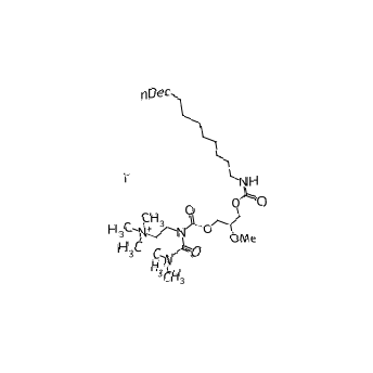 CCCCCCCCCCCCCCCCCCNC(=O)OCC(COC(=O)N(CC[N+](C)(C)C)C(=O)N(C)C)OC.[I-]